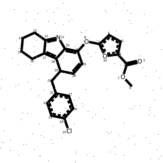 COC(=O)c1ccc(OC2=C3N=C4CCCCC4=C3C(Cc3ccc(Cl)cc3)C=C2)o1